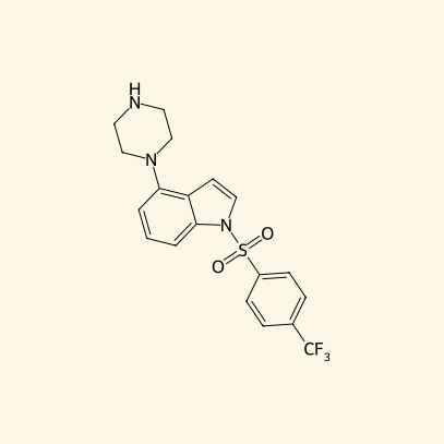 O=S(=O)(c1ccc(C(F)(F)F)cc1)n1ccc2c(N3CCNCC3)cccc21